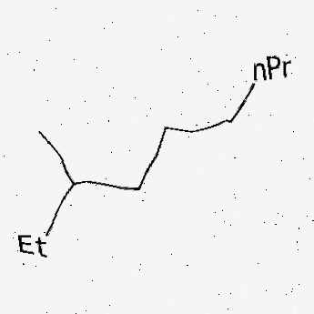 C[CH]CCCCC(C)CC